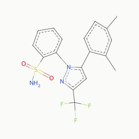 Cc1ccc(-c2cc(C(F)(F)F)nn2-c2ccccc2S(N)(=O)=O)c(C)c1